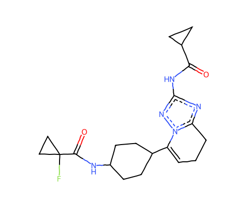 O=C(Nc1nc2n(n1)C(C1CCC(NC(=O)C3(F)CC3)CC1)=CCC2)C1CC1